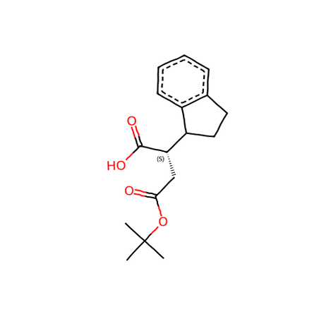 CC(C)(C)OC(=O)C[C@H](C(=O)O)C1CCc2ccccc21